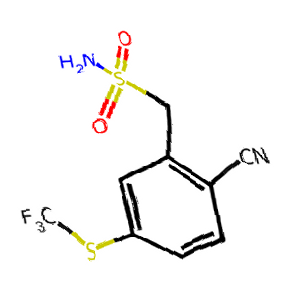 N#Cc1ccc(SC(F)(F)F)cc1CS(N)(=O)=O